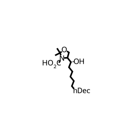 CCCCCCCCCCCCCCC[C@@H](O)C1COC(C)(C)N1C(=O)O